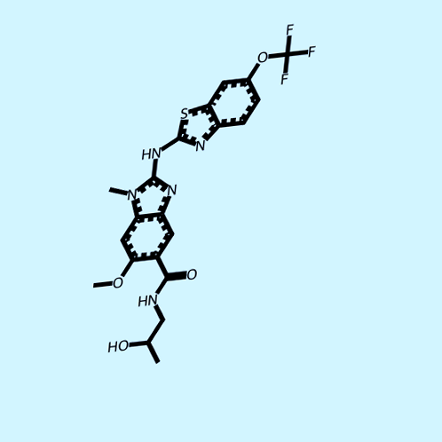 COc1cc2c(cc1C(=O)NCC(C)O)nc(Nc1nc3ccc(OC(F)(F)F)cc3s1)n2C